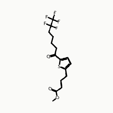 COC(=O)CCCc1ccc(C(=O)CCCCC(F)(F)C(F)(F)F)s1